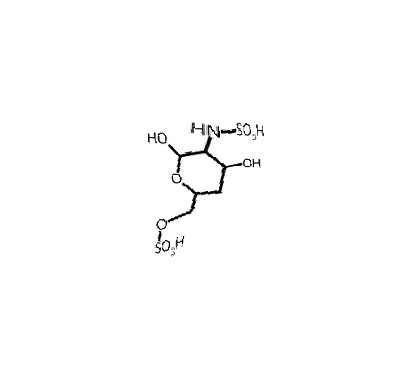 O=S(=O)(O)NC1C(O)CC(COS(=O)(=O)O)OC1O